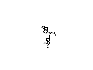 CN(CCc1ccc2c(c1)CC(=O)N2)C[C@@H]1CCCc2c1ccc1c2OCO1.Cl